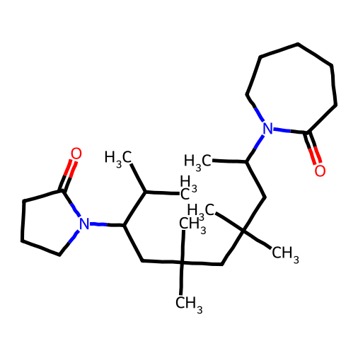 CC(C)C(CC(C)(C)CC(C)(C)CC(C)N1CCCCCC1=O)N1CCCC1=O